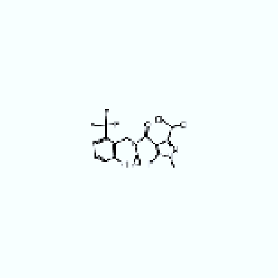 Cn1nc(C(Cl)Cl)c(C(=O)N(Cc2c(Cl)cccc2C(F)(F)F)C2CC2)c1F